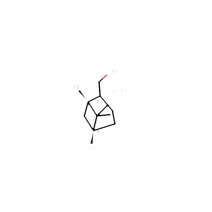 CC1(C)[C@@H]2CC[C@](O)(CO)[C@H]1C2